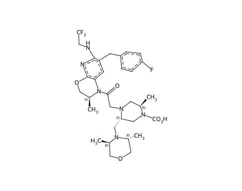 C[C@@H]1CN(CC(=O)N2c3cc(Cc4ccc(F)cc4)c(NCC(F)(F)F)nc3OC[C@@H]2C)[C@@H](CN2[C@H](C)COC[C@H]2C)CN1C(=O)O